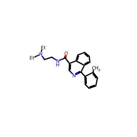 CCN(CC)CCNC(=O)c1cnc(-c2ccccc2C)c2ccccc12